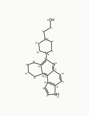 OCCN1CCN(c2nc3ccc4[nH]ccc4c3c3c2CCCC3)CC1